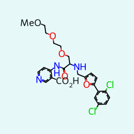 COCCOCCOCC(NCc1ccc(-c2cc(Cl)ccc2Cl)o1)C(=O)Nc1ccncc1C(=O)O